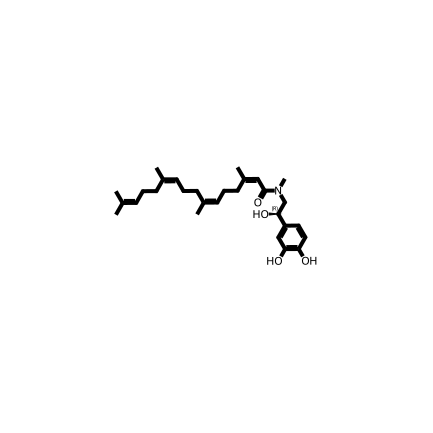 CC(C)=CCCC(C)=CCCC(C)=CCCC(C)=CC(=O)N(C)C[C@H](O)c1ccc(O)c(O)c1